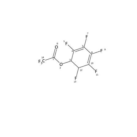 O=C(OC1C(F)=C(F)C(F)=C(F)C1F)C(F)(F)F